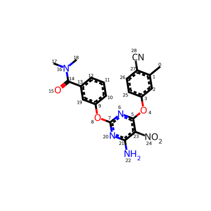 Cc1cc(Oc2nc(Oc3cccc(C(=O)N(C)C)c3)nc(N)c2[N+](=O)[O-])ccc1C#N